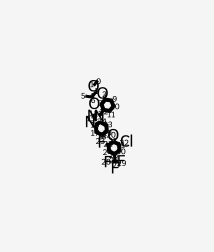 COC(=O)C(C)Oc1ccccc1-n1nnc2ccc(Oc3c(F)cc(C(F)(F)F)cc3Cl)cc21